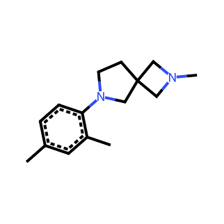 Cc1ccc(N2CCC3(CN(C)C3)C2)c(C)c1